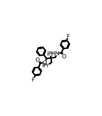 CC(C)CC(CNC(=O)c1ccc(F)cc1)(C(C)C)C(OC(=O)c1ccc(F)cc1)c1ccccc1